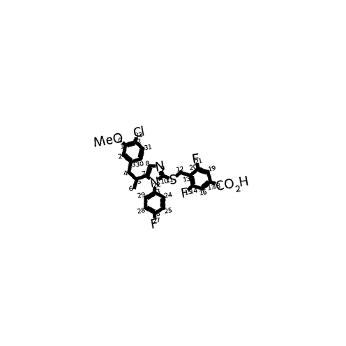 COc1cc(CC(C)c2cnc(SCc3c(F)cc(C(=O)O)cc3F)n2-c2ccc(F)cc2)ccc1Cl